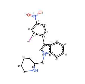 O=[N+]([O-])c1ccc(-c2cn(CC3CCCCN3)c3ccccc23)c(I)c1